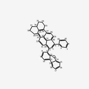 c1ccc(-c2cc(-c3cccc4c3oc3ccccc34)c3ccc4c5c6c(c7ccc2c3c74)CCCC6CCC5)cc1